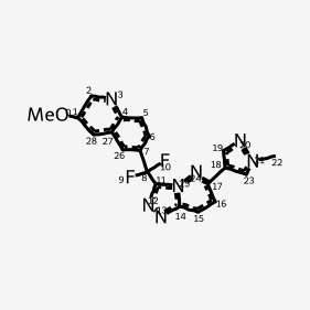 COc1cnc2ccc(C(F)(F)c3nnc4ccc(-c5cnn(C)c5)nn34)cc2c1